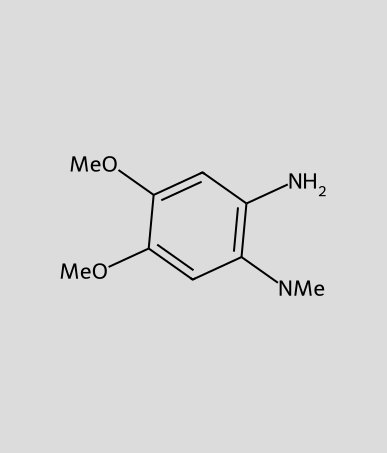 CNc1cc(OC)c(OC)cc1N